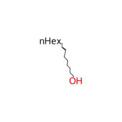 CCCCCCCC=CCCCCCCO